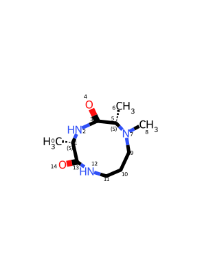 C[C@@H]1NC(=O)[C@H](C)N(C)CCCNC1=O